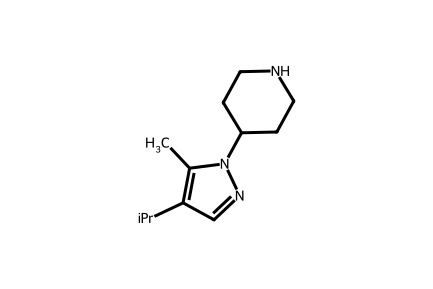 Cc1c(C(C)C)cnn1C1CCNCC1